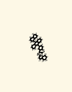 c1ccc2c(-c3c4ccccc4c(-c4ccc5sc6c(nc7ccc8ccccc8n76)c5c4)c4ccccc34)cccc2c1